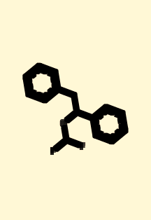 FC(F)OC(Cc1ccccc1)c1ccccc1